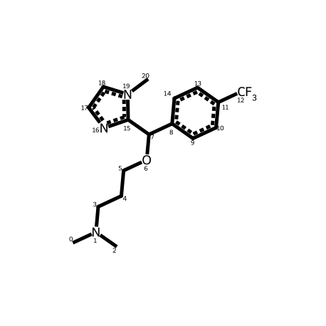 CN(C)CCCOC(c1ccc(C(F)(F)F)cc1)c1nccn1C